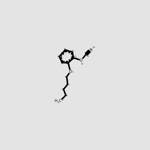 CCCCCOc1ccccc1OC#N